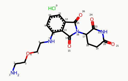 Cl.NCCOCCNc1cccc2c1C(=O)N(C1CCC(=O)NC1=O)C2=O